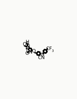 N#Cc1cc(COc2cc3n(c(=O)n2)C[C@]24CO[C@H](CN32)C4)ccc1Oc1ccc(C(F)(F)F)cc1